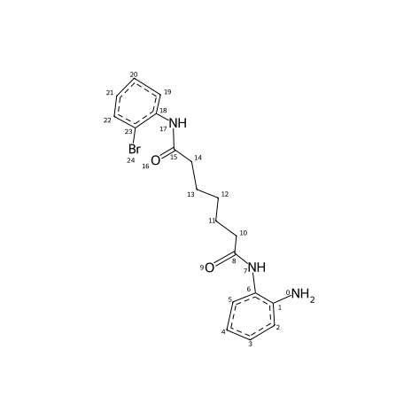 Nc1ccccc1NC(=O)CCCCCC(=O)Nc1ccccc1Br